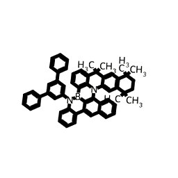 CC1(C)CCC(C)(C)c2cc3c(cc21)N1c2c(cccc2C3(C)C)B2c3c(cc4ccccc4c31)-c1ccccc1N2c1cc(-c2ccccc2)cc(-c2ccccc2)c1